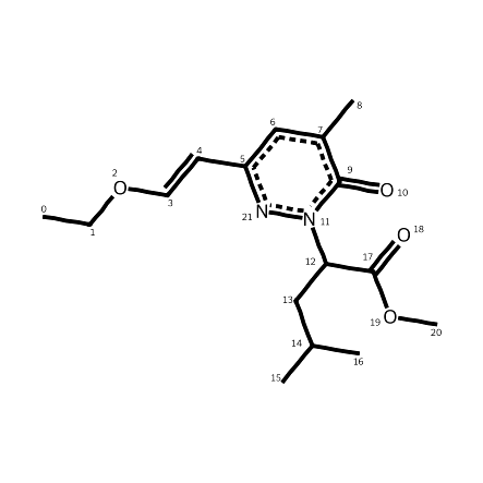 CCO/C=C/c1cc(C)c(=O)n(C(CC(C)C)C(=O)OC)n1